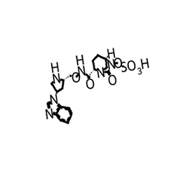 O=C(NOC[C@@H]1C[C@@H](n2cnc3ccccc32)CN1)[C@@H]1CC[C@@H]2CN1C(=O)N2OS(=O)(=O)O